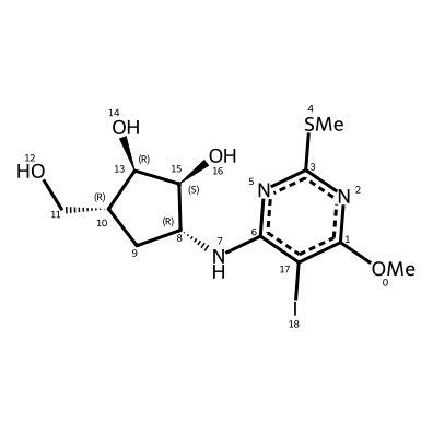 COc1nc(SC)nc(N[C@@H]2C[C@H](CO)[C@@H](O)[C@H]2O)c1I